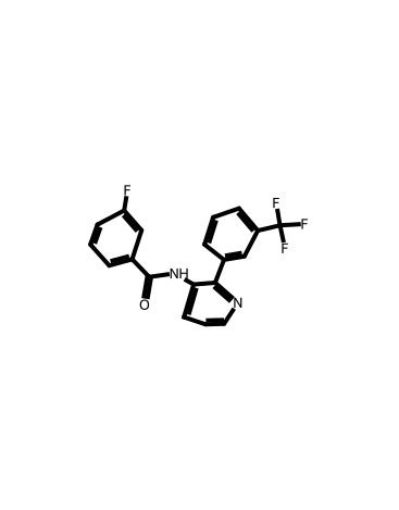 O=C(Nc1cccnc1-c1cccc(C(F)(F)F)c1)c1cccc(F)c1